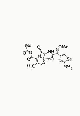 CON=C(C(=O)N[C@@H]1C(=O)N2C(C(=O)OC(=O)C(C)(C)C)=C(C)CS[C@H]12)c1c[se]c(N)n1